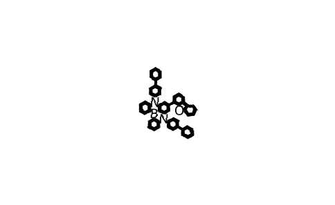 c1ccc(-c2ccc(N3c4ccccc4B4c5ccccc5N(c5ccc(-c6ccccc6)cc5)c5cc(-c6cccc7c6oc6ccccc67)cc3c54)cc2)cc1